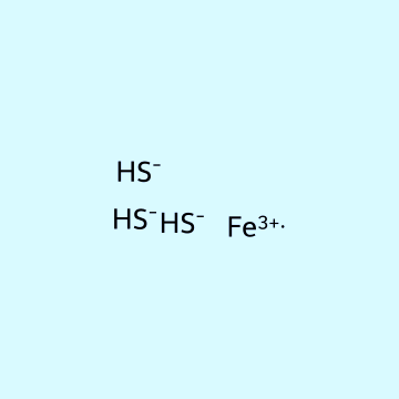 [Fe+3].[SH-].[SH-].[SH-]